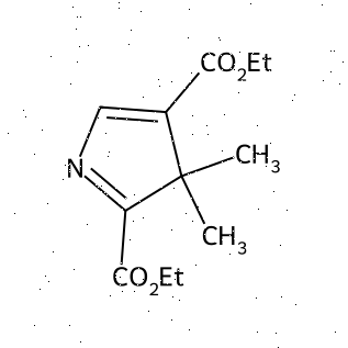 CCOC(=O)C1=CN=C(C(=O)OCC)C1(C)C